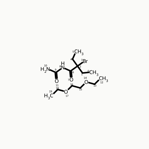 CCC(Br)(CC)C(=O)NC(N)=O.CCOCCOCC